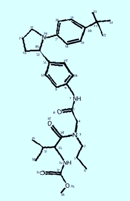 CCCN(CC(=O)Nc1ccc([C@H]2CCCN2c2ccc(C(C)(C)C)cc2)cc1)C(=O)C(NC(=O)OC)C(C)C